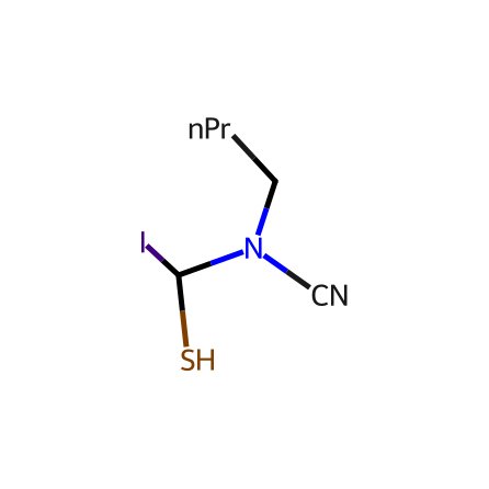 CCCCN(C#N)C(S)I